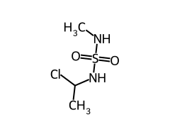 CNS(=O)(=O)NC(C)Cl